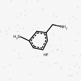 F.NCc1cccc([SiH3])c1